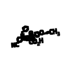 CC#CCOc1ccc(S(=O)(=O)NC(Cc2cn(Cc3ccccc3)c3ccc(C#N)cc23)C(=O)O)cc1